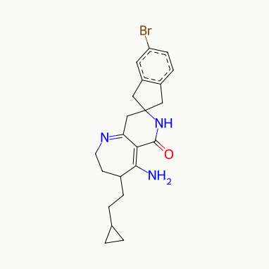 NC1=C2C(=O)NC3(CC2=NCCC1CCC1CC1)Cc1ccc(Br)cc1C3